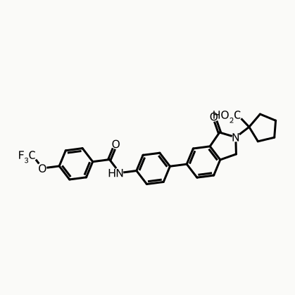 O=C(Nc1ccc(-c2ccc3c(c2)C(=O)N(C2(C(=O)O)CCCC2)C3)cc1)c1ccc(OC(F)(F)F)cc1